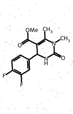 COC(=O)C1=C(C)N(C)C(=O)NC1c1ccc(F)c(F)c1